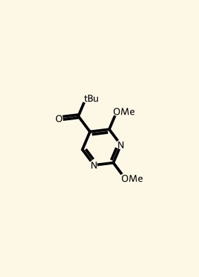 COc1ncc(C(=O)C(C)(C)C)c(OC)n1